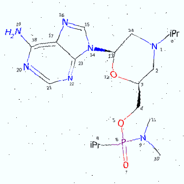 CC(C)N1C[C@@H](COP(=O)(C(C)C)N(C)C)O[C@@H](n2cnc3c(N)ncnc32)C1